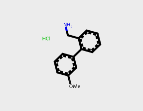 COc1cccc(-c2ccccc2CN)c1.Cl